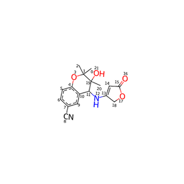 CC1(C)Oc2ccc(C#N)cc2C(NC2=CC(=O)OC2)C1(C)O